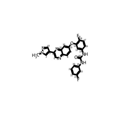 Cn1cc(-c2cnc3ccc(Oc4cc(NC(=O)Nc5cccc(F)c5)ccc4F)cc3n2)cn1